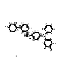 Cc1ccc(N(c2ccccc2)c2ccc(Nc3cccc(C4=CC=CCC4)c3)cc2)cc1